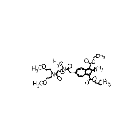 CCOC(=O)c1c2ccc(CC(=O)N(C)OCC(=O)N(CCOC)CCOC)ccc-2c(C(=O)OCC)c1N